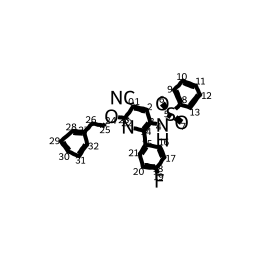 N#Cc1cc(NS(=O)(=O)c2ccccc2)c(-c2ccc(F)cc2)nc1OCCc1ccccc1